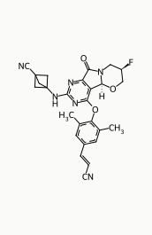 Cc1cc(/C=C/C#N)cc(C)c1Oc1nc(NC23CC(C#N)(C2)C3)nc2c1[C@@H]1OC[C@H](F)CN1C2=O